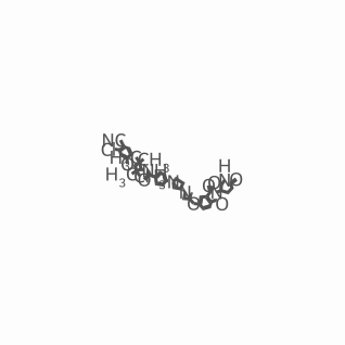 CC1(C)C(NC(=O)c2ccc(N3CC[C@@H](N4CC(Oc5ccc6c(c5)C(=O)N(C5CCC(=O)NC5=O)C6=O)C4)C3)cc2)C(C)(C)C1Oc1ccc(C#N)c(Cl)c1